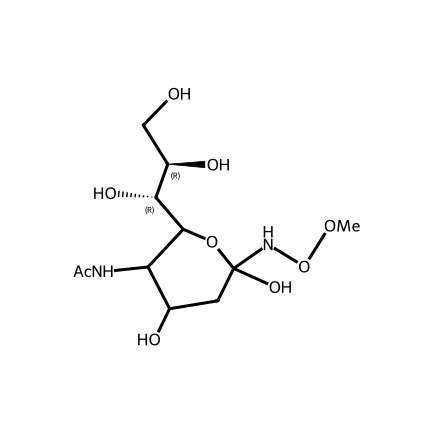 COONC1(O)CC(O)C(NC(C)=O)C([C@H](O)[C@H](O)CO)O1